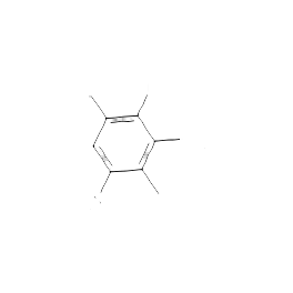 Cc1c([N+](=O)[O-])cc(I)c(F)c1C(=O)O